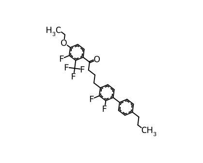 CCCc1ccc(-c2ccc(CCCC(=O)c3ccc(OCC)c(F)c3C(F)(F)F)c(F)c2F)cc1